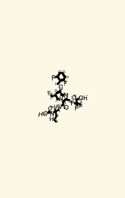 CCCC(C)(CNC(=O)c1c(C)nc2c(OCc3c(F)cccc3F)cc(CF)cn12)NC(=O)O.O=C(O)C(F)(F)F